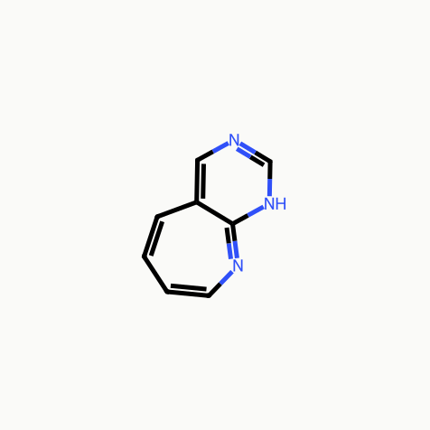 C1=CN=C2NC=NC=C2C=C1